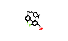 COc1ccc(F)c(-c2c(F)cc(CO)cc2[C@@H]2CCCC2(C)C)c1